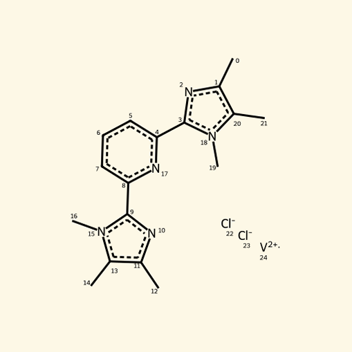 Cc1nc(-c2cccc(-c3nc(C)c(C)n3C)n2)n(C)c1C.[Cl-].[Cl-].[V+2]